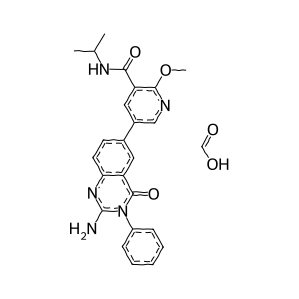 COc1ncc(-c2ccc3nc(N)n(-c4ccccc4)c(=O)c3c2)cc1C(=O)NC(C)C.O=CO